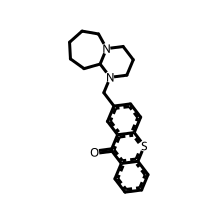 O=c1c2ccccc2sc2ccc(CN3CCCN4CCCCCC43)cc12